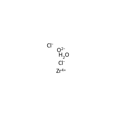 O.[Cl-].[Cl-].[O-2].[Zr+4]